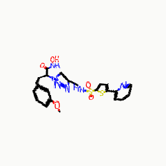 COc1cccc(CC(C(=O)NO)n2cc(CNS(=O)(=O)c3ccc(-c4ccccn4)s3)nn2)c1